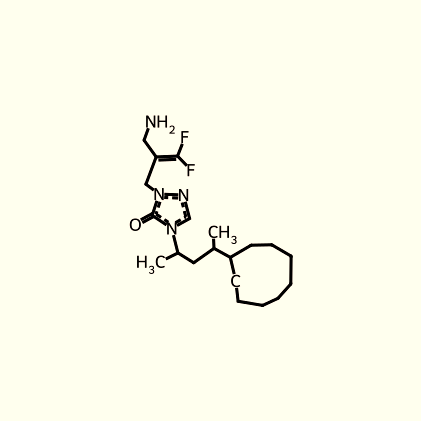 CC(CC(C)n1cnn(CC(CN)=C(F)F)c1=O)C1CCCCCCCC1